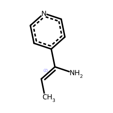 C/C=C(\N)c1ccncc1